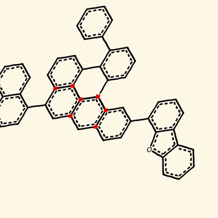 c1ccc(-c2ccccc2-c2c(-c3ccccc3)cccc2N(c2ccc(-c3cccc4ccccc34)cc2)c2cccc(-c3cccc4c3oc3ccccc34)c2)cc1